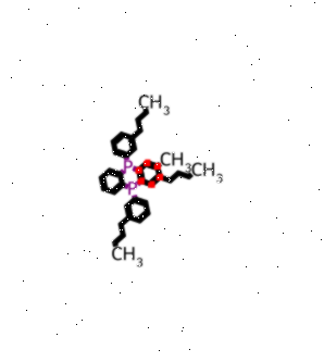 CCCCc1cccc(P(c2cccc(C)c2)c2ccccc2P(c2cccc(CCCC)c2)c2cccc(CCCC)c2)c1